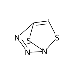 [C]1=C2N=NN(S1)S2